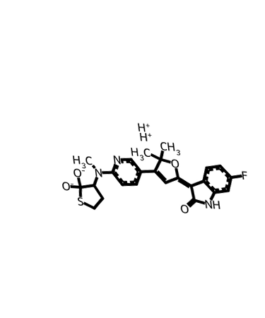 CN(c1ccc(C2=C/C(=C3\C(=O)Nc4cc(F)ccc43)OC2(C)C)cn1)C1CCSC1([O-])[O-].[H+].[H+]